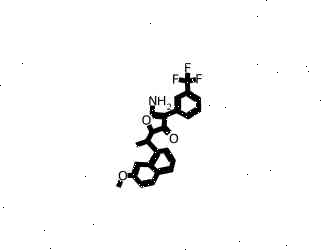 COc1ccc2cccc(C(C)C3OC(N)=C(c4cccc(C(F)(F)F)c4)C3=O)c2c1